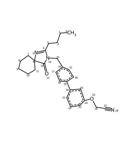 CCCCC1=NC2(CCCCC2)C(=O)N1Cc1ccc(-c2cccc(OCC#N)c2)cc1